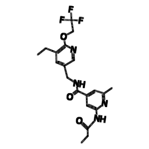 CCC(=O)Nc1cc(C(=O)NCc2cnc(OCC(F)(F)F)c(CC)c2)cc(C)n1